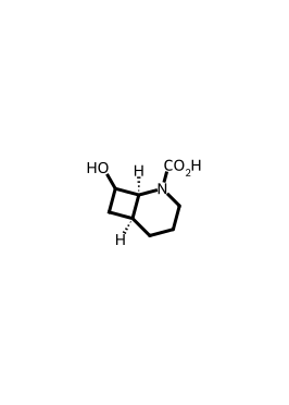 O=C(O)N1CCC[C@H]2CC(O)[C@H]21